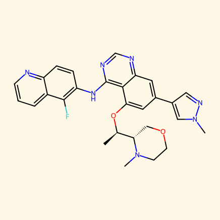 C[C@@H](Oc1cc(-c2cnn(C)c2)cc2ncnc(Nc3ccc4ncccc4c3F)c12)[C@@H]1COCCN1C